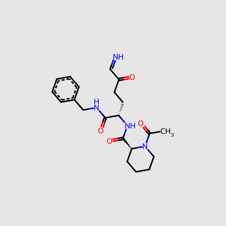 CC(=O)N1CCCC[C@H]1C(=O)N[C@@H](CCC(=O)C=N)C(=O)NCc1ccccc1